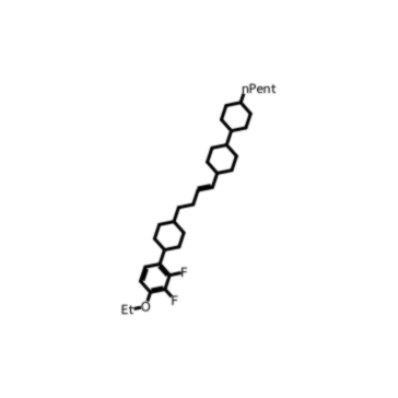 CCCCCC1CCC(C2CCC(/C=C/CCC3CCC(c4ccc(OCC)c(F)c4F)CC3)CC2)CC1